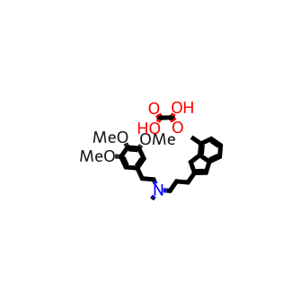 COc1cc(CCN(C)CCCC2=Cc3cccc(C)c3C2)cc(OC)c1OC.O=C(O)C(=O)O